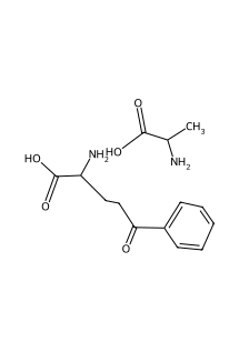 CC(N)C(=O)O.NC(CCC(=O)c1ccccc1)C(=O)O